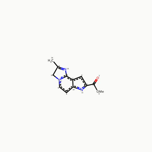 COC(=O)c1cc2c3n(ccc-2n1)CC(C)=N3